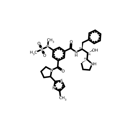 Cc1csc(C2CCCN2C(=O)c2cc(C(=O)N[C@@H](Cc3ccccc3)[C@H](O)[C@H]3CCCN3)cc(N(C)S(C)(=O)=O)c2)n1